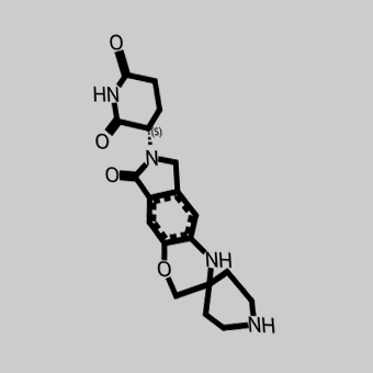 O=C1CC[C@H](N2Cc3cc4c(cc3C2=O)OCC2(CCNCC2)N4)C(=O)N1